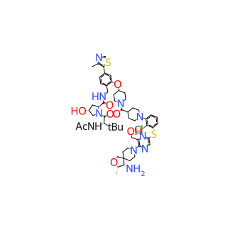 CC(=O)N[C@H](C(=O)N1C[C@H](O)C[C@H]1C(=O)NCc1ccc(-c2scnc2C)cc1OC1CCN(C(=O)C2CCN(c3cccc(Sc4cnc(N5CCC6(CC5)CO[C@@H](C)[C@H]6N)c(CO)n4)c3Cl)CC2)CC1)C(C)(C)C